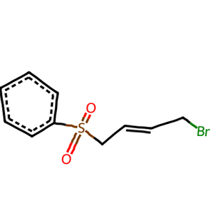 O=S(=O)(CC=CCBr)c1ccccc1